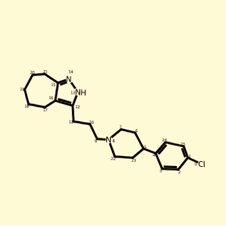 Clc1ccc(C2CCN(CCCc3[nH]nc4c3CCCCC4)CC2)cc1